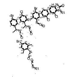 CC(N=C=O)c1ccc(Br)cc1.CC(N=C=O)c1ccc(Cl)cc1.CCN=C=O.CCNC(N)=O.CCc1cc(Br)ccc1N=C=O.Cc1cc(Br)cc(C)c1N=C=O.Clc1ccccc1.Clc1ccccc1